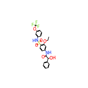 CCOc1cc(NC(=O)C(O)c2ccccc2)ccc1S(=O)(=O)Nc1cccc(OC(F)(F)F)c1